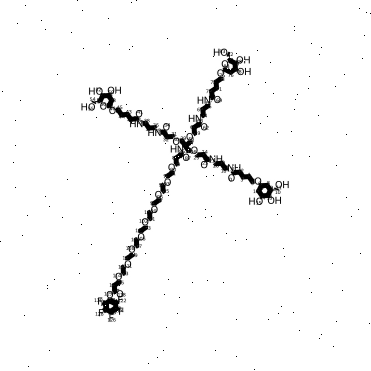 O=C(CCCCO[C@@H]1C[C@H](CO)[C@H](O)[C@H](O)C1)NCCCNC(=O)CCOCC(COCCC(=O)NCCCNC(=O)CCCCO[C@H]1C[C@@H](O)[C@@H](O)[C@@H](CO)O1)(COCCC(=O)NCCCNC(=O)CCCCO[C@H]1C[C@@H](O)[C@@H](O)[C@@H](CO)O1)NC(=O)CCOCCOCCOCCOCCOCCOCCOCCOCCOCCC(=O)Oc1c(F)c(F)c(F)c(F)c1F